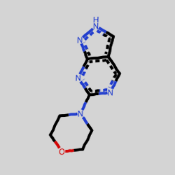 c1nc(N2CCOCC2)nc2n[nH]cc12